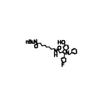 CCCCN(C)C(=O)CCCCCCCNC(=O)Cc1c(-c2ccc(F)cc2)n(Cc2ccccc2)c2ccc(O)cc12